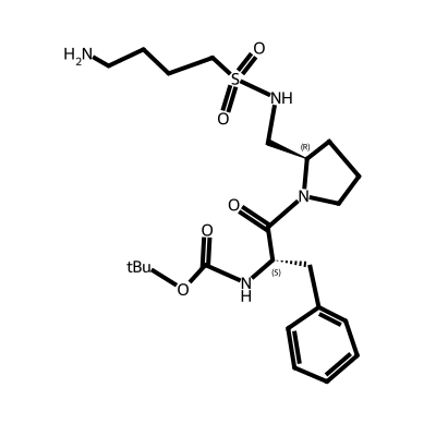 CC(C)(C)OC(=O)N[C@@H](Cc1ccccc1)C(=O)N1CCC[C@@H]1CNS(=O)(=O)CCCCN